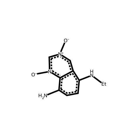 CCNc1ccc(N)c2c1c[n+]([O-])c[n+]2[O-]